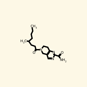 CCCCC(C)CCC(=O)N1CCc2nc(C(N)=O)ncc2C1